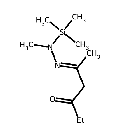 CCC(=O)CC(C)=NN(C)[Si](C)(C)C